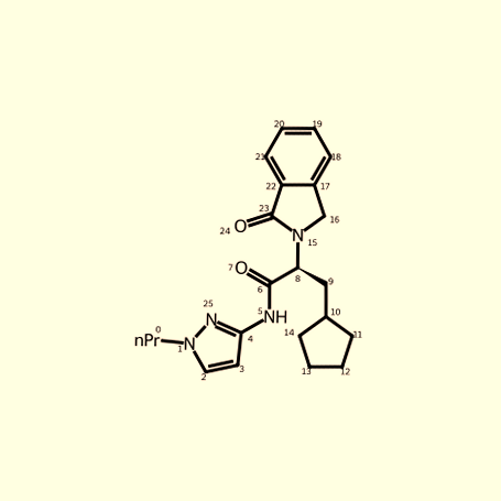 CCCn1ccc(NC(=O)[C@H](CC2CCCC2)N2Cc3ccccc3C2=O)n1